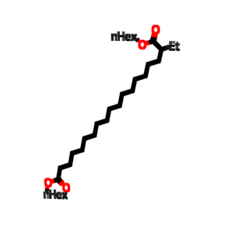 CCCCCCOC(=O)CCCCCCCCCCCCCCCCC(CC)C(=O)OCCCCCC